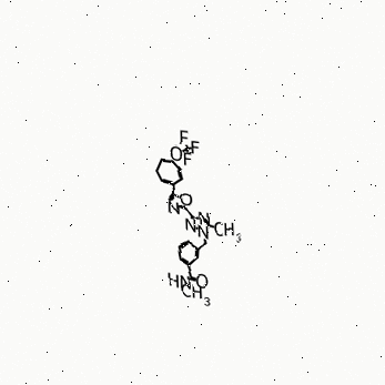 CNC(=O)c1cccc(Cn2nc(-c3ncc(C4=CCC=C(OC(F)(F)F)C=C4)o3)nc2C)c1